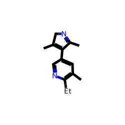 CCc1ncc(C2=C(C)CN=C2C)cc1C